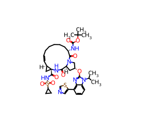 CC(C)n1c(O[C@@H]2C[C@H]3C(=O)N[C@]4(C(=O)NS(=O)(=O)C5CC5)C[C@H]4/C=C\CCCCC[C@H](NC(=O)OC(C)(C)C)C(=O)N3C2)nc2c(-c3cncs3)cccc21